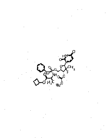 CC(NP(=O)(OC[C@H]1O[C@@H](n2ccc(=O)[nH]c2=O)[C@](C)(F)[C@@H]1OC(=O)OC(C)(C)C)Oc1ccccc1)C(=O)OC1CCC1